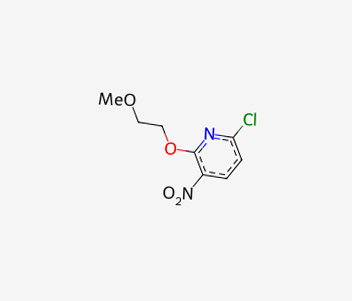 COCCOc1nc(Cl)ccc1[N+](=O)[O-]